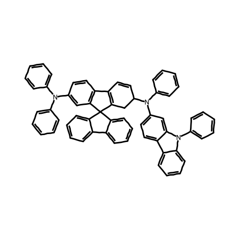 C1=CC(N(c2ccccc2)c2ccc3c4ccccc4n(-c4ccccc4)c3c2)CC2=C1c1ccc(N(c3ccccc3)c3ccccc3)cc1C21c2ccccc2-c2ccccc21